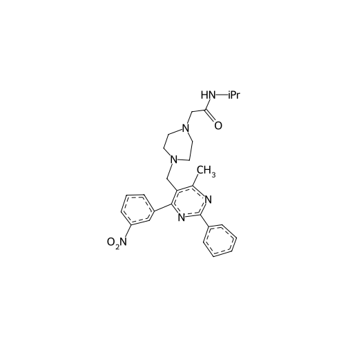 Cc1nc(-c2ccccc2)nc(-c2cccc([N+](=O)[O-])c2)c1CN1CCN(CC(=O)NC(C)C)CC1